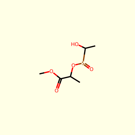 COC(=O)C(C)OS(=O)C(C)O